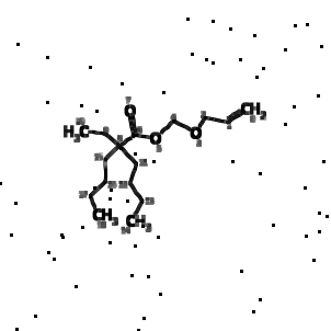 C=CCOCOC(=O)C(CC)(CCCC)CCCC